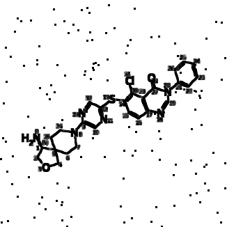 N[C@@H]1COCC12CCN(c1cnc(Sc3ccc4ncn(-c5ccccc5)c(=O)c4c3Cl)cn1)CC2